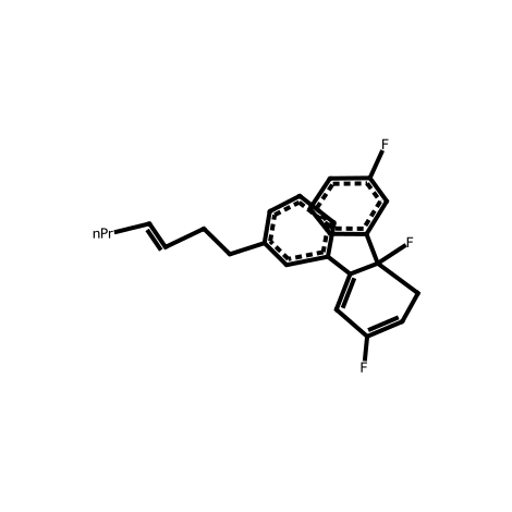 CCCC=CCCc1cccc(C2=CC(F)=CCC2(F)c2cccc(F)c2)c1